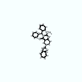 Cc1nc2c(c(=O)n1C(c1ccccc1)c1ccccc1)CN(c1nc3ccccc3o1)CC2